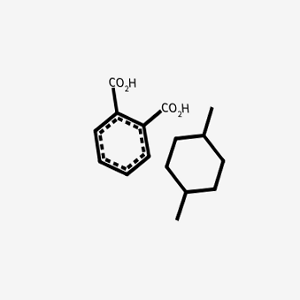 CC1CCC(C)CC1.O=C(O)c1ccccc1C(=O)O